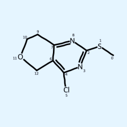 CSc1nc(Cl)c2c(n1)CCOC2